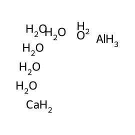 O.O.O.O.O.O.[AlH3].[CaH2]